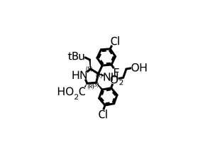 CC(C)(C)C[C@@H]1N[C@@H](C(=O)O)[C@H](c2cc(Cl)ccc2OCCO)[C@@]1(N)c1ccc(Cl)cc1F